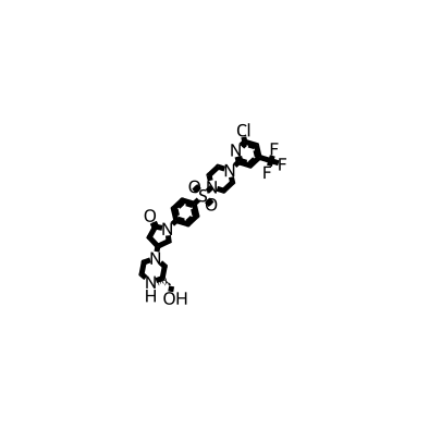 O=C1CC(N2CCN[C@@H](CO)C2)CN1c1ccc(S(=O)(=O)N2CCN(c3cc(C(F)(F)F)cc(Cl)n3)CC2)cc1